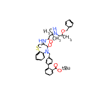 C[C@H](CNC(C)(C)CC(=O)N[C@@H]1CSc2ccccc2N(Cc2ccc(-c3ccccc3C(=O)OC(C)(C)C)cc2)C1=O)OCc1ccccc1